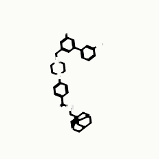 O=C(NCC12CC3CC(CC(C3)C1)C2)c1ccc(N2CCN(Cc3cc(-c4cccc(O)c4)cc(C(F)(F)F)c3)CC2)cc1